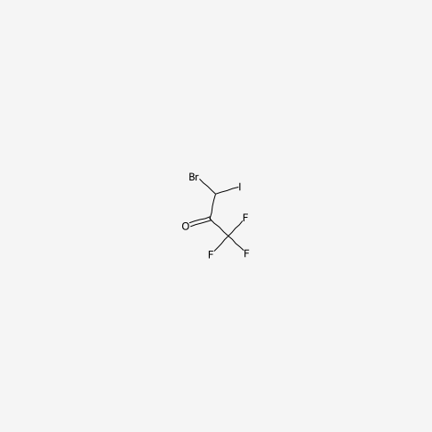 O=C(C(Br)I)C(F)(F)F